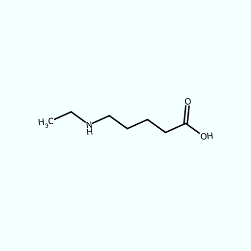 CCNCCCCC(=O)O